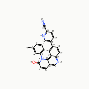 Cc1cccc(-n2c(=O)ccc3cnc4ccc(-c5ccc(C#N)nc5)cc4c32)c1